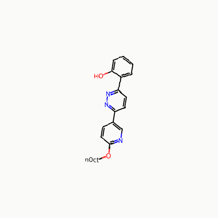 CCCCCCCCOc1ccc(-c2ccc(-c3ccccc3O)nn2)cn1